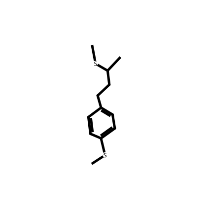 CSc1ccc(CCC(C)SC)cc1